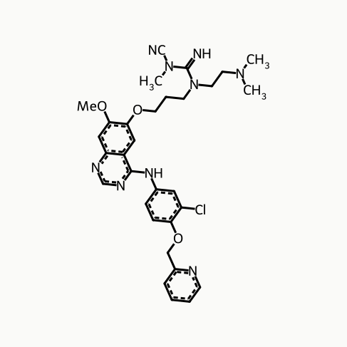 COc1cc2ncnc(Nc3ccc(OCc4ccccn4)c(Cl)c3)c2cc1OCCCN(CCN(C)C)C(=N)N(C)C#N